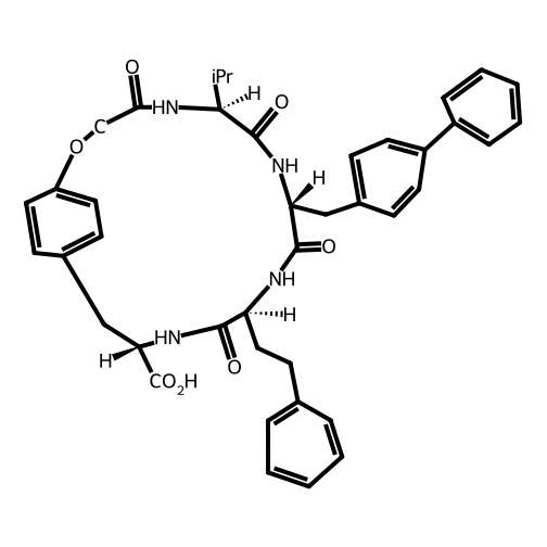 CC(C)[C@@H]1NC(=O)COc2ccc(cc2)C[C@@H](C(=O)O)NC(=O)[C@H](CCc2ccccc2)NC(=O)[C@@H](Cc2ccc(-c3ccccc3)cc2)NC1=O